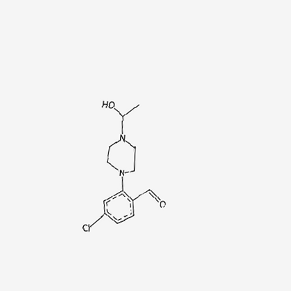 CC(O)N1CCN(c2cc(Cl)ccc2C=O)CC1